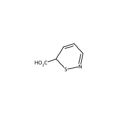 O=C(O)C1C=CC=NS1